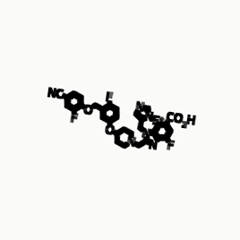 CCn1cncc1Cn1c(CN2CCC(Oc3ccc(F)c(COc4ccc(C#N)cc4F)c3)CC2)nc2c(F)cc(C(=O)O)cc21